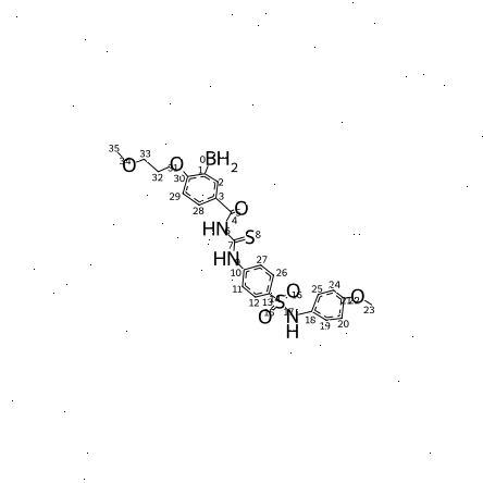 Bc1cc(C(=O)NC(=S)Nc2ccc(S(=O)(=O)Nc3ccc(OC)cc3)cc2)ccc1OCCOC